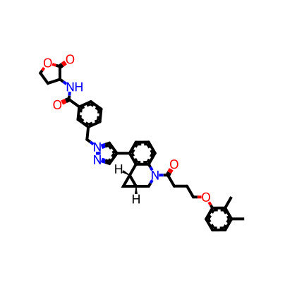 Cc1cccc(OCCCC(=O)N2C[C@@H]3C[C@@H]3c3c(-c4cnn(Cc5cccc(C(=O)NC6CCOC6=O)c5)c4)cccc32)c1C